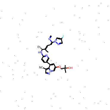 C=N/C(=C\C=C(/C)[C@H](CC)Nc1ccc(-c2cc(OCC(C)(C)O)cn3ncc(C#N)c23)cn1)n1cc(F)cn1